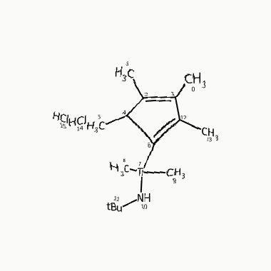 CC1=C(C)C(C)[C]([Ti]([CH3])([CH3])[NH]C(C)(C)C)=C1C.Cl.Cl